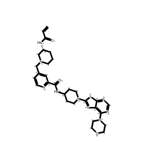 C=CC(=O)N[C@@H]1CCCN(Cc2ccnc(C(=O)NC3CCN(c4nc5c(N6CCOCC6)ncnc5s4)CC3)c2)C1